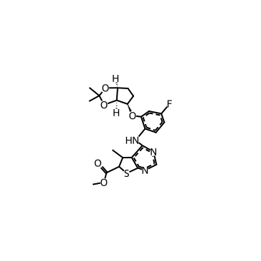 COC(=O)C1Sc2ncnc(Nc3ccc(F)cc3O[C@@H]3CC[C@@H]4OC(C)(C)O[C@@H]43)c2C1C